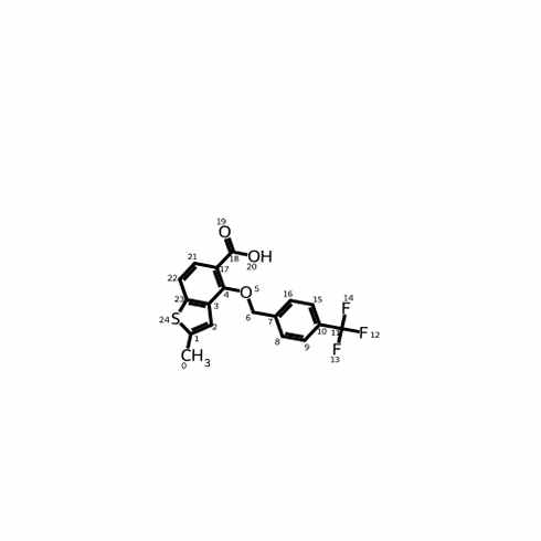 Cc1cc2c(OCc3ccc(C(F)(F)F)cc3)c(C(=O)O)ccc2s1